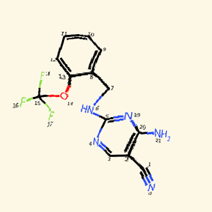 N#Cc1cnc(NCc2ccccc2OC(F)(F)F)nc1N